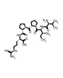 CC[C@H](C)[C@H](NC(=O)[C@@H](N)C(C)C)C(=O)N1CCC[C@H]1C(=O)N1CCC[C@H]1C(=O)N[C@@H](CCCNC(=N)N)C(=O)O